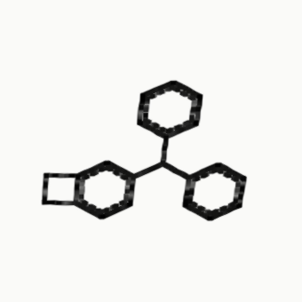 c1ccc(C(c2ccccc2)c2ccc3c(c2)CC3)cc1